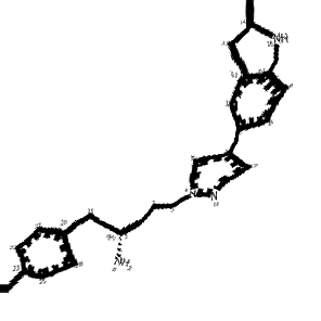 N[C@@H](CCn1cc(-c2ccc3c(c2)CC(=O)N3)cn1)Cc1ccc(Cl)cc1